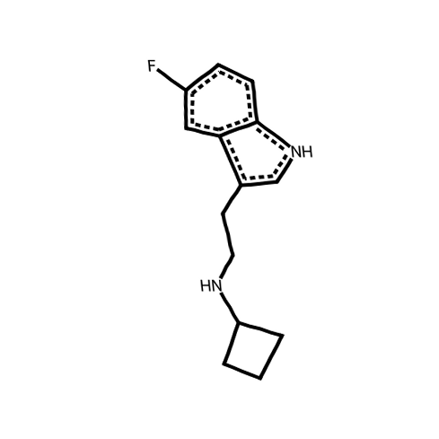 Fc1ccc2[nH]cc(CCNC3CCC3)c2c1